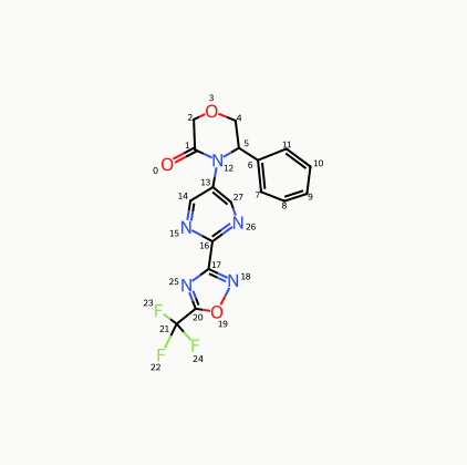 O=C1COCC(c2ccccc2)N1c1cnc(-c2noc(C(F)(F)F)n2)nc1